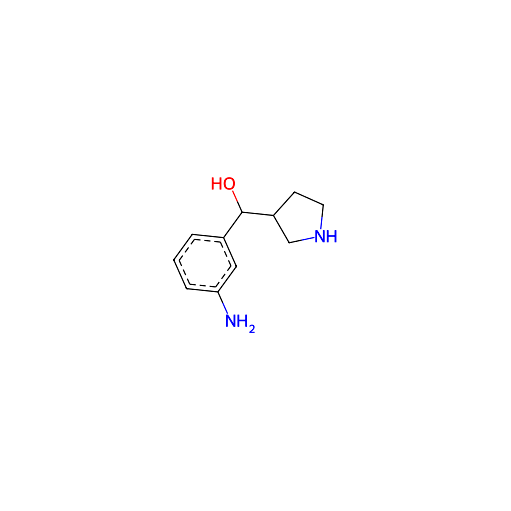 Nc1cccc(C(O)C2CCNC2)c1